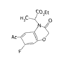 CCOC(=O)C(C)N1C(=O)COc2cc(F)c(C(C)=O)cc21